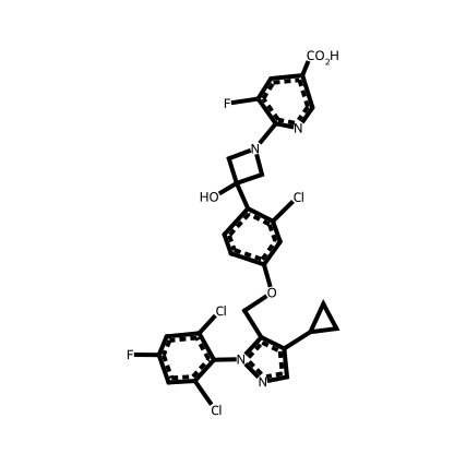 O=C(O)c1cnc(N2CC(O)(c3ccc(OCc4c(C5CC5)cnn4-c4c(Cl)cc(F)cc4Cl)cc3Cl)C2)c(F)c1